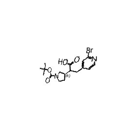 CC(C)(C)OC(=O)N1CC[C@H](C(Cc2ccnc(Br)c2)C(=O)O)C1